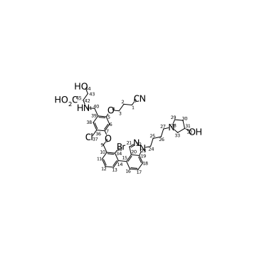 N#CCCCOc1cc(OCc2cccc(-c3cccc4c3cnn4CCCCN3CC[C@@H](O)C3)c2Br)c(Cl)cc1CN[C@@H](CO)C(=O)O